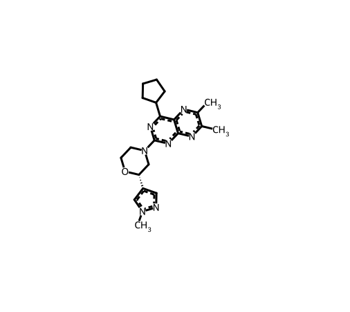 Cc1nc2nc(N3CCO[C@@H](c4cnn(C)c4)C3)nc(C3CCCC3)c2nc1C